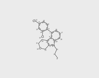 CCCn1c2c(c3c(-c4ccc(Cl)cc4Cl)cccc31)CCOC2